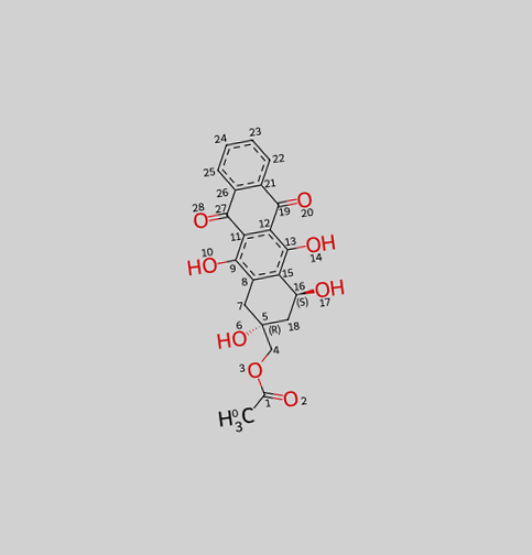 CC(=O)OC[C@@]1(O)Cc2c(O)c3c(c(O)c2[C@@H](O)C1)C(=O)c1ccccc1C3=O